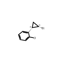 CC[C@H]1C[C@H]1c1ccccc1Cl